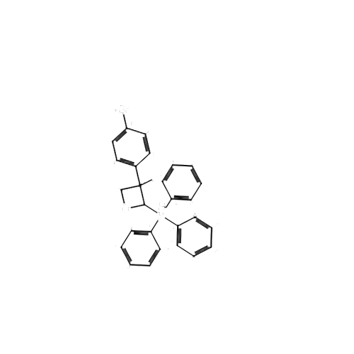 CC1(c2ccc(Br)cc2)COC1[PH](c1ccccc1)(c1ccccc1)c1ccccc1